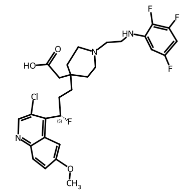 COc1ccc2ncc(Cl)c([C@@H](F)CCC3(CC(=O)O)CCN(CCNc4cc(F)cc(F)c4F)CC3)c2c1